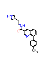 O=C(NCCC1CNC1)c1cnc2c(-c3ccc(C(F)(F)F)cc3)cccc2c1